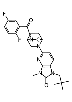 Cn1c(=O)n(CC(C)(C)C)c2ccc(N3CC4CCC3CN4C(=O)c3cc(F)ccc3F)nc21